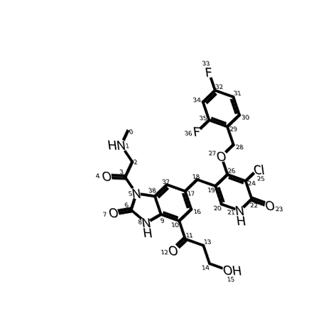 CNCC(=O)n1c(=O)[nH]c2c(C(=O)CCO)cc(Cc3c[nH]c(=O)c(Cl)c3OCc3ccc(F)cc3F)cc21